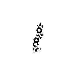 Cc1nc2cc(NS(=O)(=O)c3ccc4c(c3)CN(C(=O)C(F)(F)F)CC4)ccc2s1